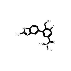 Cc1nc2cc(-c3cc(C(=O)N(C)C)cc(F)c3CO)ccc2[nH]1